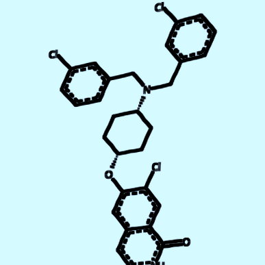 O=c1[nH]ccc2cc(O[C@H]3CC[C@@H](N(Cc4cccc(Cl)c4)Cc4cccc(Cl)c4)CC3)c(Cl)cc12